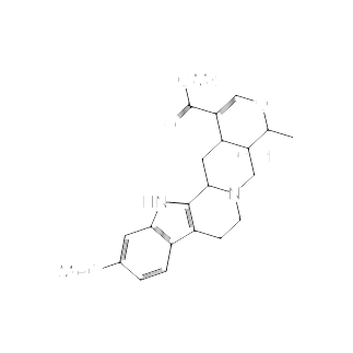 COC(=O)C1=COC(C)[C@H]2CN3CCc4c([nH]c5cc(OC)ccc45)C3CC12